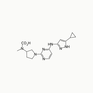 CN(C(=O)O)C1CCN(c2nccc(Nc3cc(C4CC4)[nH]n3)n2)C1